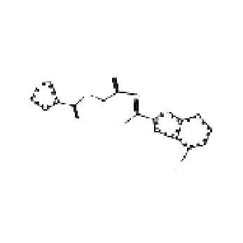 C=C(CNC(=O)c1ccsc1)/N=C(\C)c1cc2c(C)cccc2[nH]1